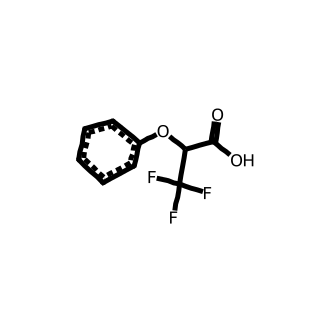 O=C(O)C(Oc1ccccc1)C(F)(F)F